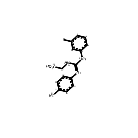 Cc1cccc(NC(=Nc2ccc(C#N)cc2)NCC(=O)O)c1